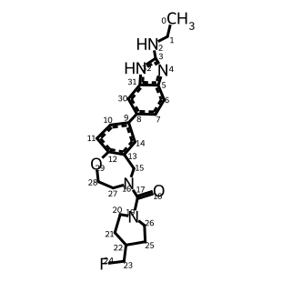 CCNc1nc2ccc(-c3ccc4c(c3)CN(C(=O)N3CCC(CF)CC3)CCO4)cc2[nH]1